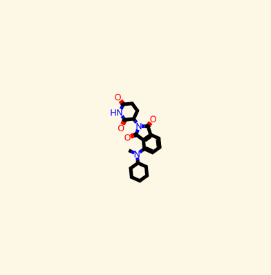 CN(c1cccc2c1C(=O)N(C1CCC(=O)NC1=O)C2=O)C1CCCCC1